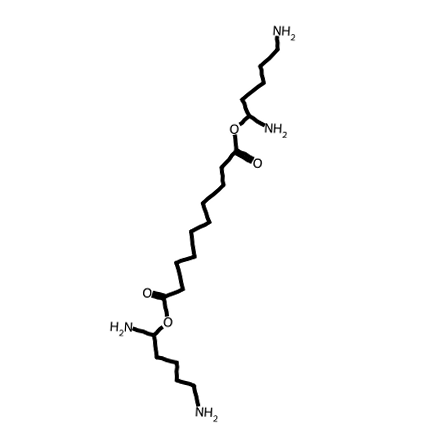 NCCCCC(N)OC(=O)CCCCCCCCC(=O)OC(N)CCCCN